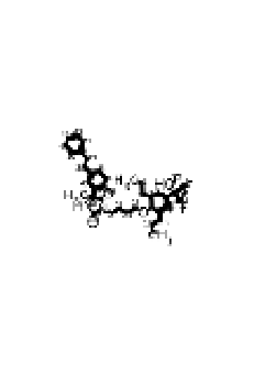 CCCc1cc(C(O)(C(F)(F)F)C(F)(F)F)cc(CCC)c1OCCCCN1C(=O)NC(C)(c2cccc(CCc3ccccc3)c2)C1=O